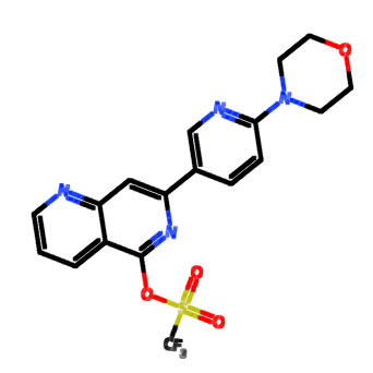 O=S(=O)(Oc1nc(-c2ccc(N3CCOCC3)nc2)cc2ncccc12)C(F)(F)F